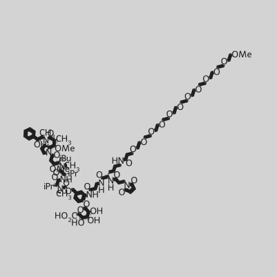 CC[C@H](C)[C@@H]([C@@H](CC(=O)N1CCC[C@H]1[C@H](OC)[C@@H](C)C(=O)N[C@H](C)[C@@H](O)c1ccccc1)OC)N(C)C(=O)[C@@H](NC(=O)[C@H](C(C)C)N(C)C(=O)OCc1ccc(O[C@@H]2O[C@H](C(=O)O)[C@@H](O)[C@H](O)[C@H]2O)c(NC(=O)CCNC(=O)[C@H](CCCCNC(=O)CCOCCOCCOCCOCCOCCOCCOCCOCCOCCOCCOCCOC)NC(=O)CCN2C(=O)C=CC2=O)c1)C(C)C